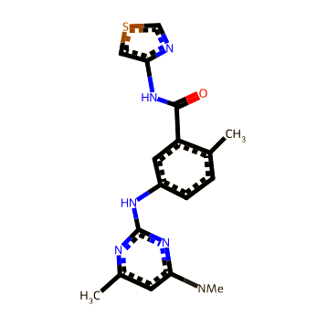 CNc1cc(C)nc(Nc2ccc(C)c(C(=O)Nc3cscn3)c2)n1